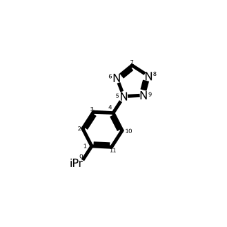 CC(C)c1ccc(-n2ncnn2)cc1